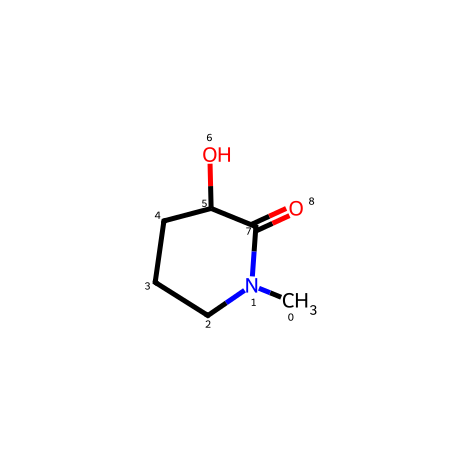 CN1CCCC(O)C1=O